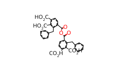 O=C(OC(=O)c1ccc(C(=O)O)c(C(=O)O)c1Cc1ccccc1)c1ccc(C(=O)O)c(C(=O)O)c1Cc1ccccc1